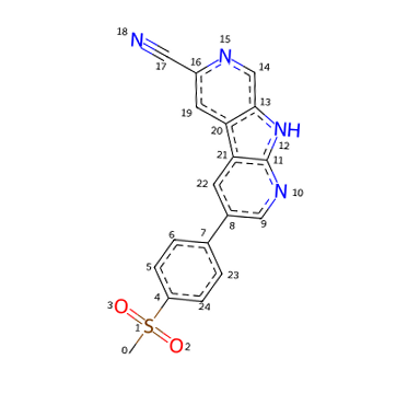 CS(=O)(=O)c1ccc(-c2cnc3[nH]c4cnc(C#N)cc4c3c2)cc1